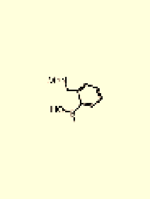 CNCc1ccccc1B(C)O